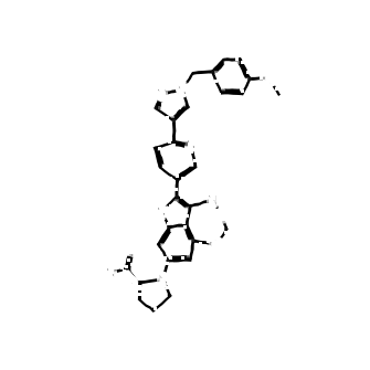 COc1ccc(Cn2cc(-c3ccc(-c4[nH]c5cc(N6CCC[C@H]6C(N)=O)cc6c5c4NCCO6)cn3)cn2)cc1